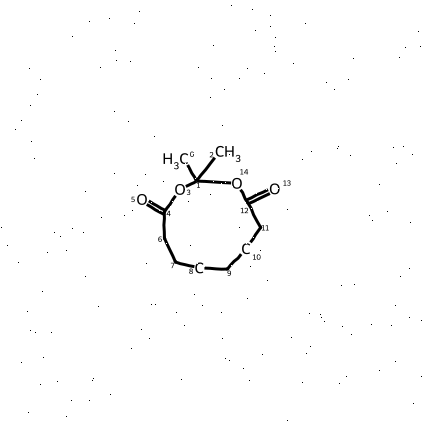 CC1(C)OC(=O)CCCCCCC(=O)O1